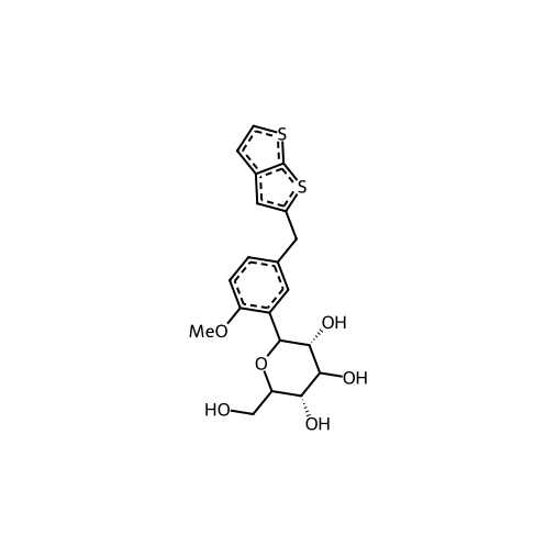 COc1ccc(Cc2cc3ccsc3s2)cc1C1OC(CO)[C@@H](O)C(O)[C@H]1O